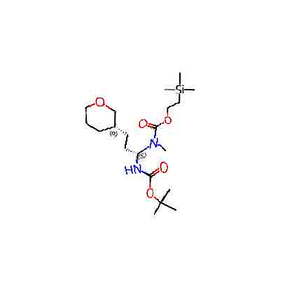 CN(C(=O)OCC[Si](C)(C)C)[C@@H](CC[C@@H]1CCCOC1)NC(=O)OC(C)(C)C